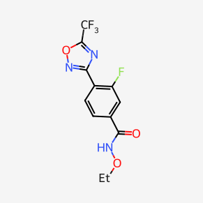 CCONC(=O)c1ccc(-c2noc(C(F)(F)F)n2)c(F)c1